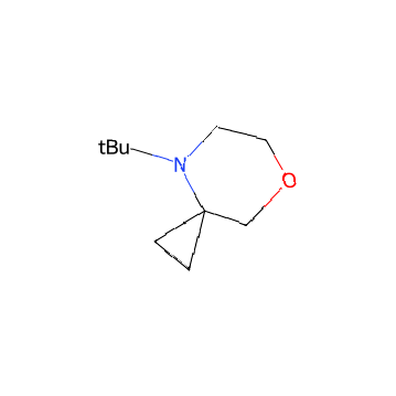 CC(C)(C)N1CCOCC12CC2